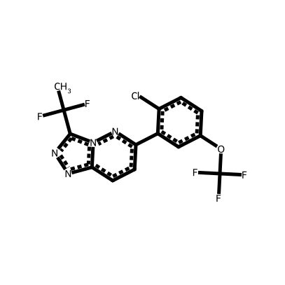 CC(F)(F)c1nnc2ccc(-c3cc(OC(F)(F)F)ccc3Cl)nn12